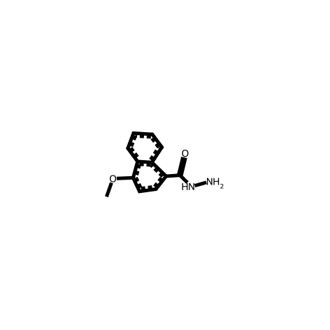 COc1ccc(C(=O)NN)c2ccccc12